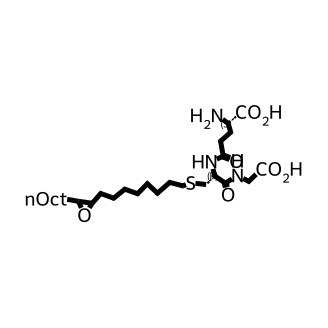 CCCCCCCCC1OC1CCCCCCCCSC[C@H](NC(=O)CC[C@H](N)C(=O)O)C(=O)NCC(=O)O